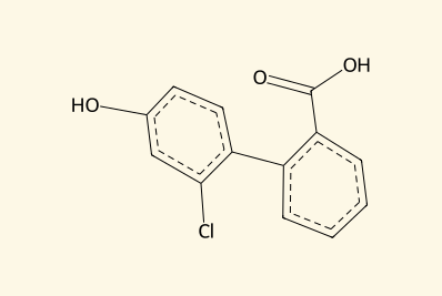 O=C(O)c1ccccc1-c1ccc(O)cc1Cl